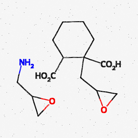 NCC1CO1.O=C(O)C1CCCCC1(CC1CO1)C(=O)O